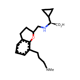 CNCCCc1cccc2c1OC(CN[C@H](C(=O)O)C1CC1)CC2